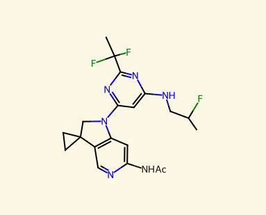 CC(=O)Nc1cc2c(cn1)C1(CC1)CN2c1cc(NCC(C)F)nc(C(C)(F)F)n1